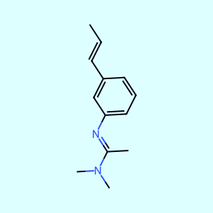 C/C=C/c1cccc(/N=C(\C)N(C)C)c1